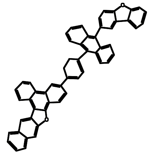 C1=C(c2ccc3c(c2)c2ccccc2c2c4cc5ccccc5cc4oc32)CCC(c2c3ccccc3c(-c3ccc4oc5ccccc5c4c3)c3ccccc23)=C1